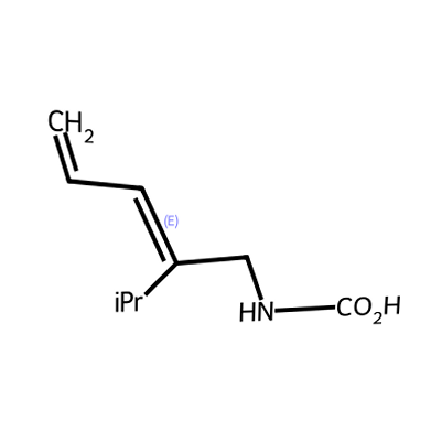 C=C/C=C(/CNC(=O)O)C(C)C